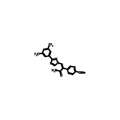 COc1ccc(C(=Cn2cnc(-c3cc(C(F)(F)F)cc(C(F)(F)F)c3)n2)C(N)=O)cn1